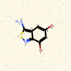 Nc1snc2c(Br)cc(Br)cc12